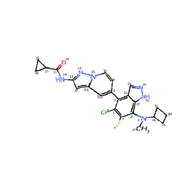 CN(c1c(F)c(Cl)c(-c2ccn3nc(NC(=O)C4CC4)cc3c2)c2cn[nH]c12)C1CCC1